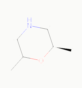 C[C]1CNC[C@@H](C)O1